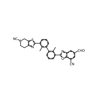 Cc1c(-c2nc3cc(C=O)cc(C#N)c3o2)cccc1-c1cccc(-c2nc3c(s2)CB(C#N)CC3)c1C